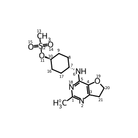 Cc1nc2c(c(N[C@H]3CC[C@H](OS(C)(=O)=O)CC3)n1)OCC2